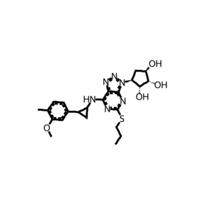 CCCSc1nc(NC2CC2c2ccc(C)c(OC)c2)c2nnn([C@H]3C[C@@H](O)[C@H](O)[C@@H]3O)c2n1